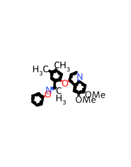 COc1cc2nccc(Oc3cc(C)c(C)cc3/C(C)=N/Oc3ccccc3)c2cc1OC